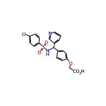 O=C(O)COc1ccc(C(NS(=O)(=O)c2ccc(Cl)cc2)c2cccnc2)cc1